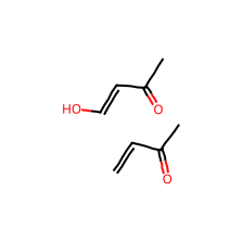 C=CC(C)=O.CC(=O)C=CO